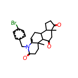 CC12CC(=O)C3C(CC=C4N(Cc5ccc(Br)cc5)C(=O)CCC43C)C1CCC2=O